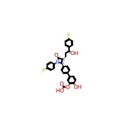 O=C(O)Oc1cc(-c2ccc([C@@H]3[C@@H](CC[C@H](O)c4ccc(F)cc4)C(=O)N3c3ccc(F)cc3)cc2)ccc1O